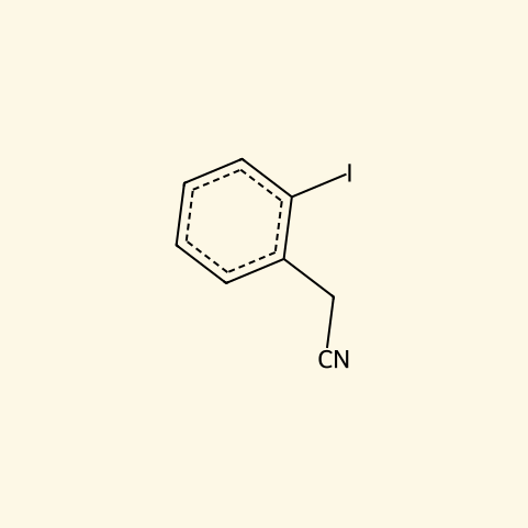 N#CCc1ccccc1I